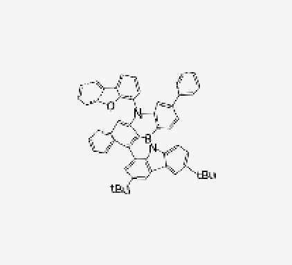 CC(C)(C)c1ccc2c(c1)c1cc(C(C)(C)C)cc3c1n2B1c2ccc(-c4ccccc4)cc2N(c2cccc4c2oc2ccccc24)c2cc4ccccc4c-3c21